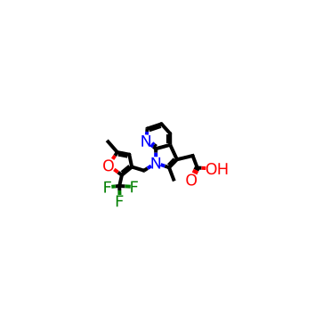 Cc1cc(Cn2c(C)c(CC(=O)O)c3cccnc32)c(C(F)(F)F)o1